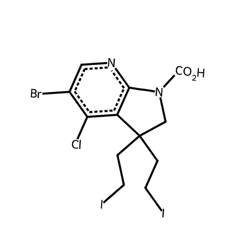 O=C(O)N1CC(CCI)(CCI)c2c1ncc(Br)c2Cl